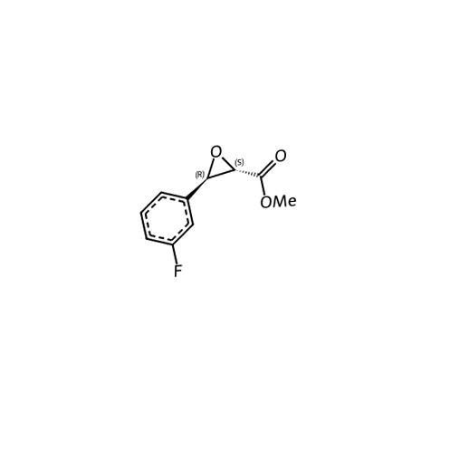 COC(=O)[C@H]1O[C@@H]1c1cccc(F)c1